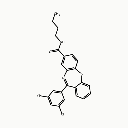 CCCCNC(=O)c1ccc2c(c1)N=C(c1cc(Cl)cc(Cl)c1)c1ccccc1S2